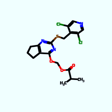 CC(C)C(=O)OCOc1nc(SCc2c(Cl)cncc2Cl)nc2c1CCC2